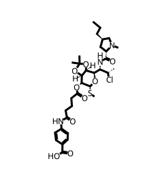 CCC[C@@H]1C[C@@H](C(=O)N[C@@H]([C@H]2O[C@H](SC)[C@H](OC(=O)CCCC(=O)Nc3ccc(C(=O)O)cc3)[C@H]3OC(C)(C)O[C@H]32)[C@H](C)Cl)N(C)C1